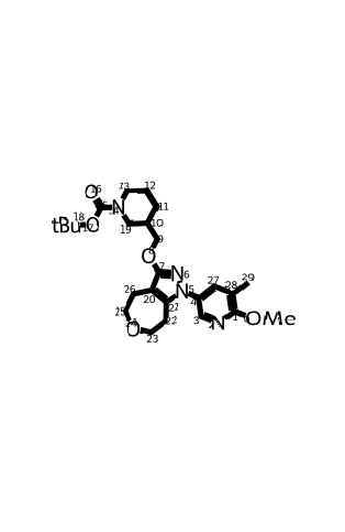 COc1ncc(-n2nc(OCC3CCCN(C(=O)OC(C)(C)C)C3)c3c2CCOCC3)cc1C